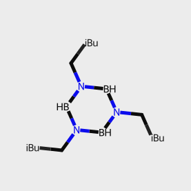 CCC(C)CN1BN(CC(C)CC)BN(CC(C)CC)B1